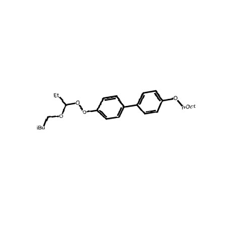 CCCCCCCCOc1ccc(-c2ccc(OOC(CC)OCC(C)CC)cc2)cc1